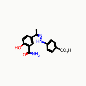 CC(=NNc1ccc(C(=O)O)cc1)c1ccc(O)c(C(N)=O)c1